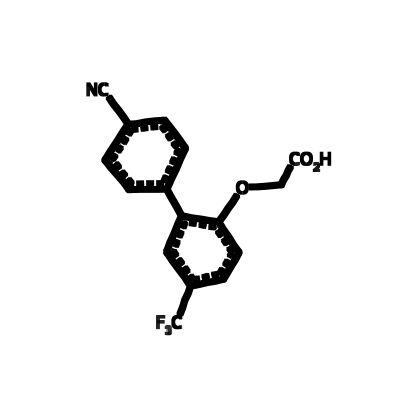 N#Cc1ccc(-c2cc(C(F)(F)F)ccc2OCC(=O)O)cc1